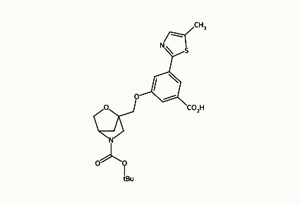 Cc1cnc(-c2cc(OCC34CC(CO3)N(C(=O)OC(C)(C)C)C4)cc(C(=O)O)c2)s1